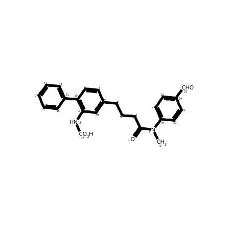 CN(C(=O)CCCc1ccc(-c2ccccc2)c(NC(=O)O)c1)c1ccc(C=O)cc1